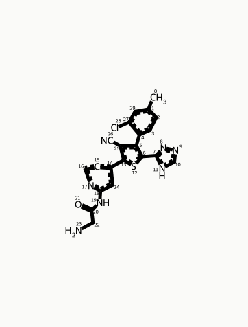 Cc1ccc(-c2c(-c3nnc[nH]3)sc(-c3ccnc(NC(=O)CN)c3)c2C#N)c(Cl)c1